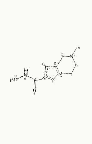 CN1CCn2cc(C(=O)NO)cc2C1